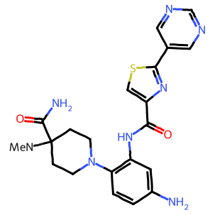 CNC1(C(N)=O)CCN(c2ccc(N)cc2NC(=O)c2csc(-c3cncnc3)n2)CC1